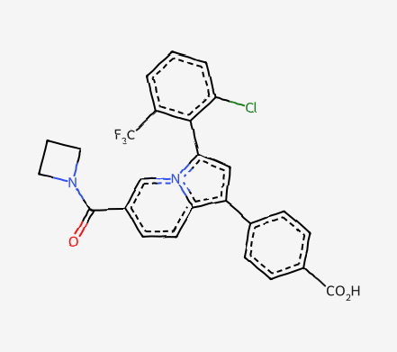 O=C(O)c1ccc(-c2cc(-c3c(Cl)cccc3C(F)(F)F)n3cc(C(=O)N4CCC4)ccc23)cc1